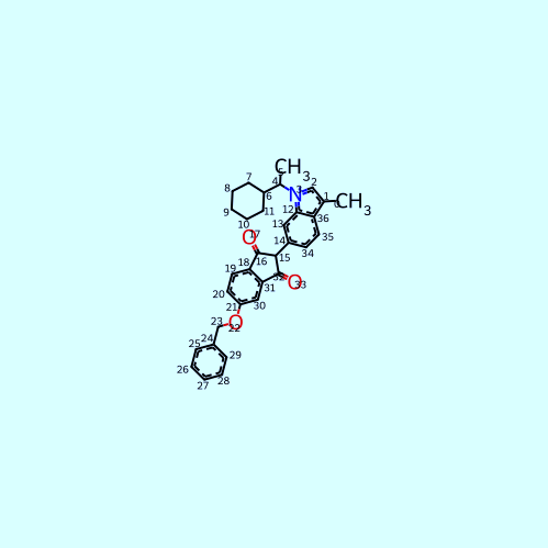 Cc1cn(C(C)C2CCCCC2)c2cc(C3C(=O)c4ccc(OCc5ccccc5)cc4C3=O)ccc12